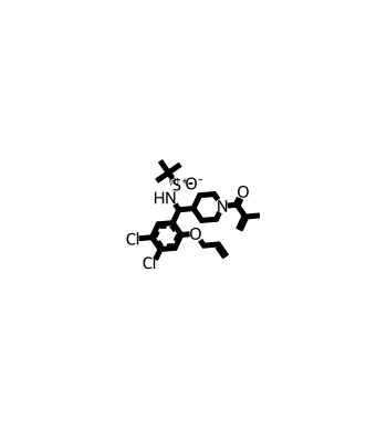 C=CCOc1cc(Cl)c(Cl)cc1C(N[S@@+]([O-])C(C)(C)C)C1CCN(C(=O)C(=C)C)CC1